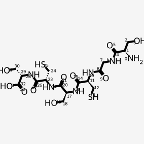 N[C@@H](CO)C(=O)NCC(=O)N[C@@H](CS)C(=O)N[C@@H](CO)C(=O)N[C@@H](CS)C(=O)N[C@@H](CO)C(=O)O